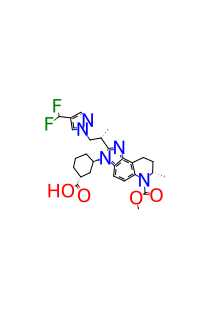 COC(=O)N1c2ccc3c(nc([C@@H](C)Cn4cc(C(F)F)cn4)n3[C@@H]3CCC[C@@H](C(=O)O)C3)c2CC[C@@H]1C